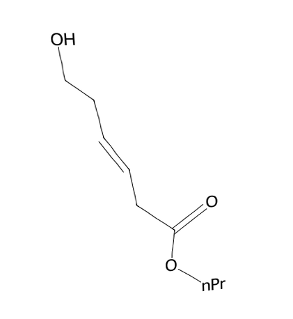 CCCOC(=O)CC=CCCO